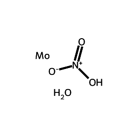 O.O=[N+]([O-])O.[Mo]